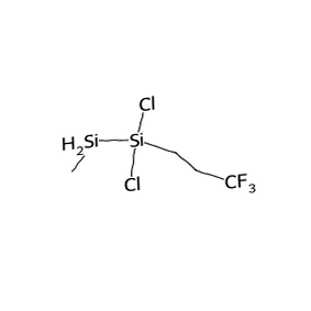 C[SiH2][Si](Cl)(Cl)CCC(F)(F)F